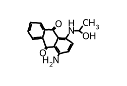 CC(O)Nc1ccc(N)c2c1C(=O)c1ccccc1C2=O